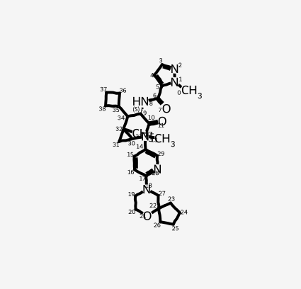 Cn1nccc1C(=O)N[C@@H]1C(=O)[N+](C)(c2ccc(N3CCOC4(CCCC4)C3)nc2)C2CC2(C)C1C1CCC1